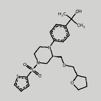 CC(C)(O)c1ccc(N2CCN(S(=O)(=O)c3cccs3)C[C@@H]2COCC2CCCO2)cc1